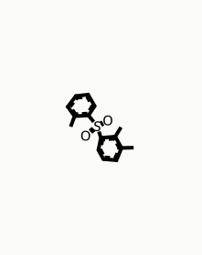 Cc1ccccc1S(=O)(=O)c1cccc(C)c1C